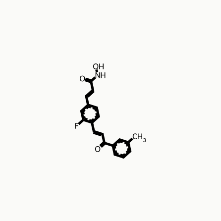 Cc1cccc(C(=O)C=Cc2ccc(C=CC(=O)NO)cc2F)c1